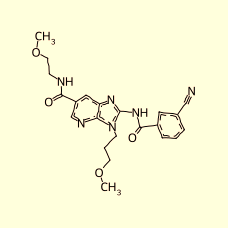 COCCCn1c(NC(=O)c2cccc(C#N)c2)nc2cc(C(=O)NCCOC)cnc21